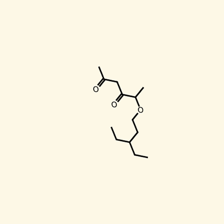 CCC(CC)CCOC(C)C(=O)CC(C)=O